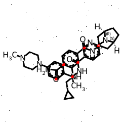 C[C@H](NC(=O)c1ccc(N2[C@@H]3CC[C@H]2C[C@@H](NC(=O)c2ccc(C(N)=O)c(NCC4CC4)c2)C3)nc1)c1ccc(N2CCN(C)CC2)cc1